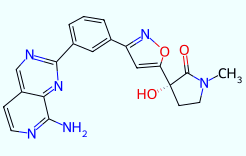 CN1CC[C@@](O)(c2cc(-c3cccc(-c4ncc5ccnc(N)c5n4)c3)no2)C1=O